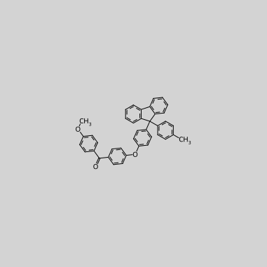 COc1ccc(C(=O)c2ccc(Oc3ccc(C4(c5ccc(C)cc5)c5ccccc5-c5ccccc54)cc3)cc2)cc1